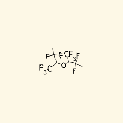 CC(F)(F)C(OC(C(C)(F)F)C(F)(F)F)C(F)(F)F